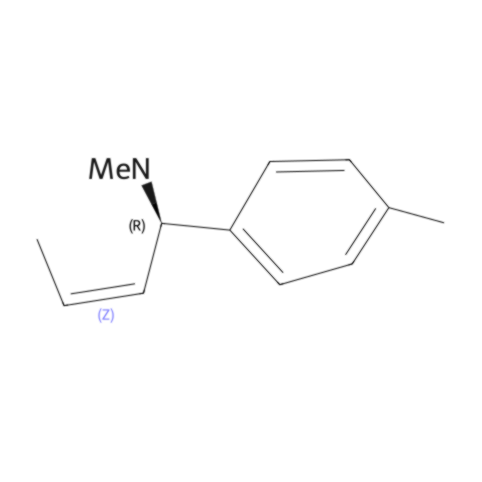 C/C=C\[C@@H](NC)c1ccc(C)cc1